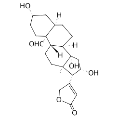 C[C@]12CC[C@H]3[C@@H](CC[C@@H]4C[C@@H](O)CC[C@@]43C=O)[C@@]1(O)C[C@H](O)[C@@H]2C1=CC(=O)OC1